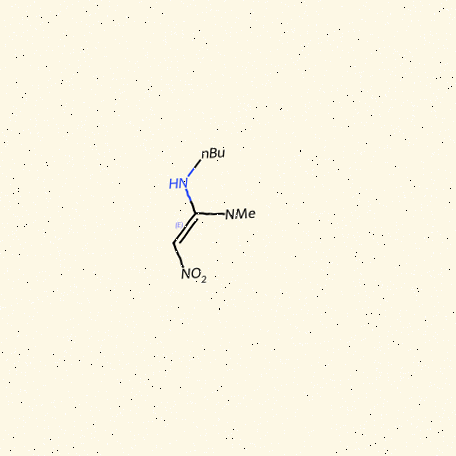 CCCCN/C(=C/[N+](=O)[O-])NC